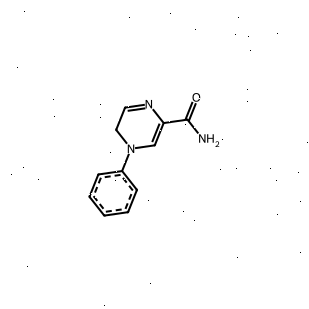 NC(=O)C1=CN(c2ccccc2)CC=N1